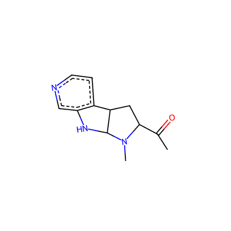 CC(=O)C1CC2c3ccncc3NC2N1C